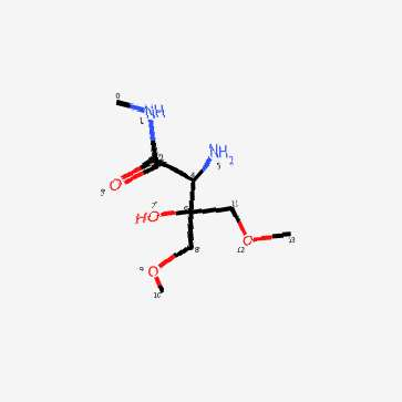 CNC(=O)C(N)C(O)(COC)COC